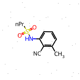 CCCS(=O)(=O)Nc1cccc(C)c1C#N